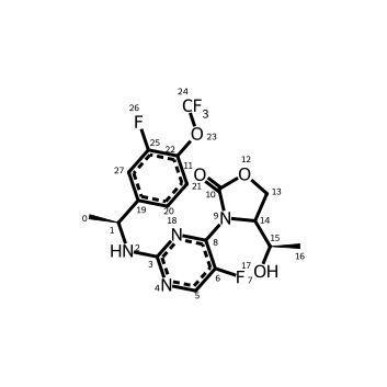 C[C@H](Nc1ncc(F)c(N2C(=O)OCC2[C@@H](C)O)n1)c1ccc(OC(F)(F)F)c(F)c1